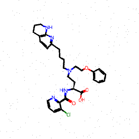 O=C(N[C@@H](CCN(CCCCc1ccc2c(n1)NCCC2)CCOc1ccccc1)C(=O)O)c1ncccc1Cl